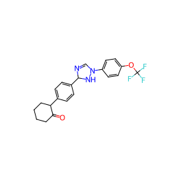 O=C1CCCCC1c1ccc(C2N=CN(c3ccc(OC(F)(F)F)cc3)N2)cc1